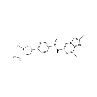 CCNC1CN(c2ncc(C(=O)Nc3cn4cc(C)nc4c(C)n3)cn2)CC1F